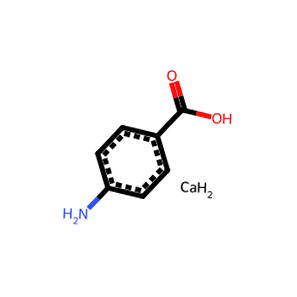 Nc1ccc(C(=O)O)cc1.[CaH2]